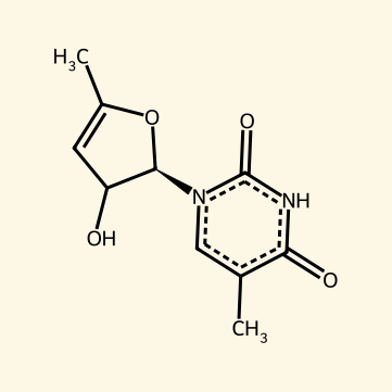 CC1=CC(O)[C@H](n2cc(C)c(=O)[nH]c2=O)O1